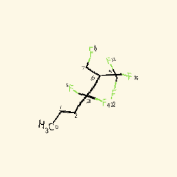 CCCC(F)(F)C(CF)C(F)(F)F